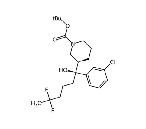 CC(F)(F)CCC[C@@](O)(c1cccc(Cl)c1)[C@@H]1CCCN(C(=O)OC(C)(C)C)C1